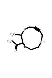 NC(=O)C1NCCNCC#CCSC1C(F)(F)F